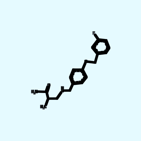 CC(CNCc1ccc(OCc2cccc(F)c2)cc1)C(N)=O